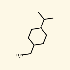 CC(C)N1CCC(CN)CC1